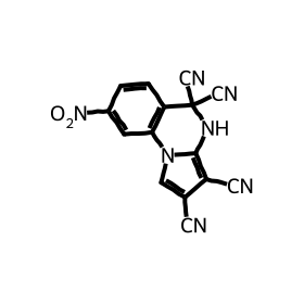 N#Cc1cn2c(c1C#N)NC(C#N)(C#N)c1ccc([N+](=O)[O-])cc1-2